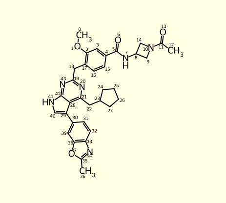 COc1cc(C(=O)NC2CN(C(C)=O)C2)ccc1Cc1nc(CC2CCCC2)c2c(-c3ccc4nc(C)oc4c3)c[nH]c2n1